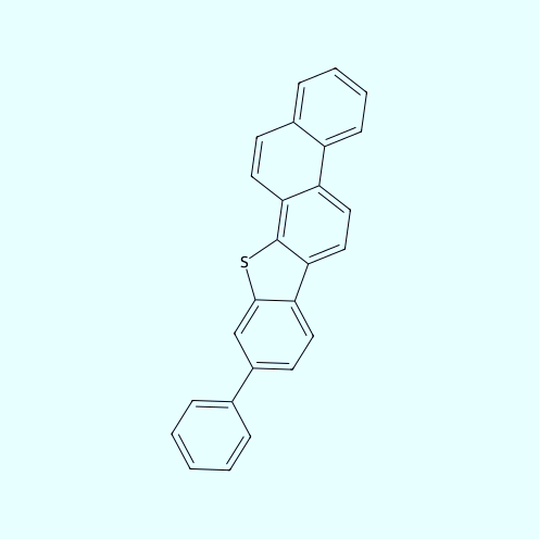 c1ccc(-c2ccc3c(c2)sc2c3ccc3c4ccccc4ccc32)cc1